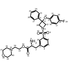 N[C@@H](Cc1cccc(S(=O)(=O)N2CC(Oc3ccc(F)cc3)(c3ccccc3)C2)c1)C(=O)OCCN1CCOCC1